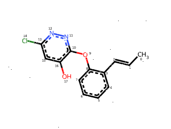 CC=Cc1ccccc1Oc1nnc(Cl)cc1O